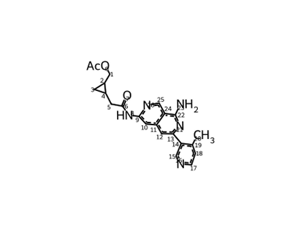 CC(=O)OCC1CC1CC(=O)Nc1cc2cc(-c3cnccc3C)nc(N)c2cn1